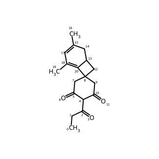 CCC(=O)C1C(=O)CC2(CC1=O)CC1CC(C)=CC(C)=C12